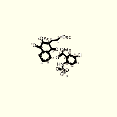 CCCCCCCCCCCCC1=C(OC(C)=O)C(=O)c2ccccc2C1=O.COC(=O)c1cc(Cl)ccc1NS(=O)(=O)C(F)(F)F